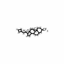 CC12CCC3C(CCC4CC(C(F)(F)F)CCC43C)C1CCC2CCC1CCC1